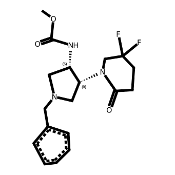 COC(=O)N[C@H]1CN(Cc2ccccc2)C[C@H]1N1CC(F)(F)CCC1=O